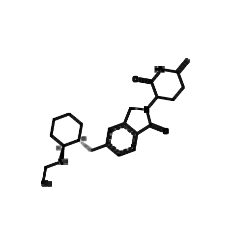 C=C1CCC(N2Cc3cc(C[C@H]4CCCC[C@@H]4NCC(C)(C)C)ccc3C2=O)C(=O)N1